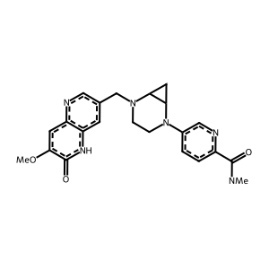 CNC(=O)c1ccc(N2CCN(Cc3cnc4cc(OC)c(=O)[nH]c4c3)C3CC32)cn1